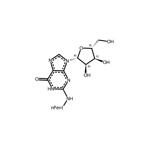 CCCCCNc1nc2c(ncn2[C@@H]2O[C@H](CO)[C@@H](O)[C@H]2O)c(=O)[nH]1